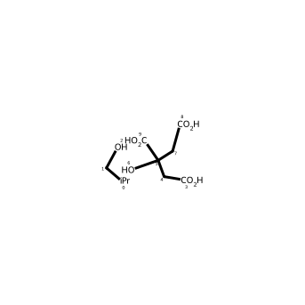 CC(C)CO.O=C(O)CC(O)(CC(=O)O)C(=O)O